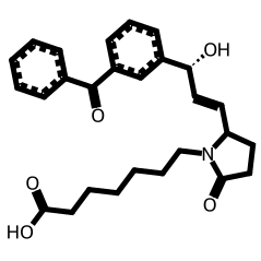 O=C(O)CCCCCCN1C(=O)CCC1/C=C/[C@@H](O)c1cccc(C(=O)c2ccccc2)c1